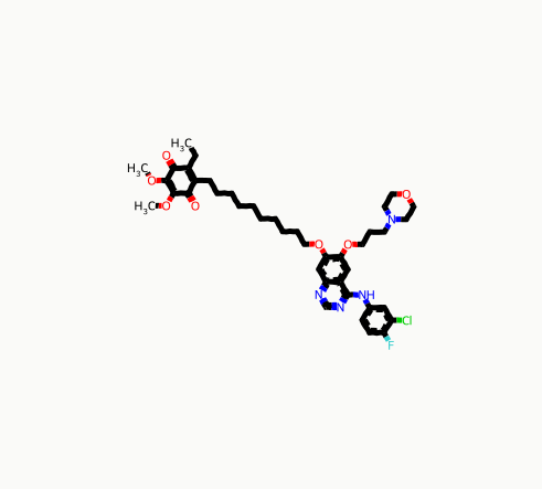 CCC1=C(CCCCCCCCCCOc2cc3ncnc(Nc4ccc(F)c(Cl)c4)c3cc2OCCCN2CCOCC2)C(=O)C(OC)=C(OC)C1=O